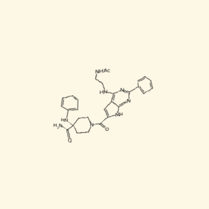 CC(=O)NCCNc1nc(-c2ccccc2)nc2[nH]c(C(=O)N3CCC(Nc4ccccc4)(C(N)=O)CC3)cc12